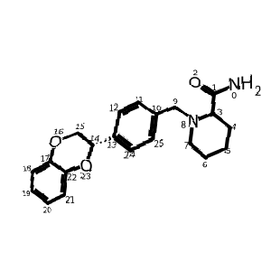 NC(=O)C1C[CH]CCN1Cc1ccc([C@H]2COc3ccccc3O2)cc1